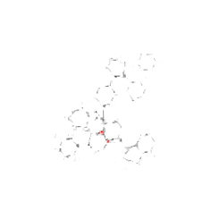 c1ccc(-c2ccccc2-c2ccccc2-c2ccc(N(c3ccc(-c4cccc5ccccc45)cc3)c3cccc(-c4ccccc4)c3-c3ccccc3)cc2)cc1